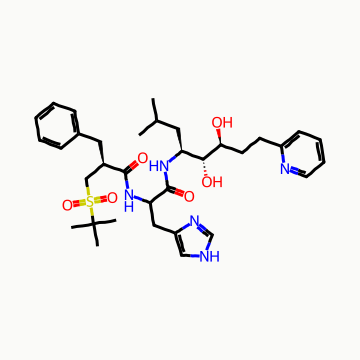 CC(C)C[C@H](NC(=O)C(Cc1c[nH]cn1)NC(=O)[C@H](Cc1ccccc1)CS(=O)(=O)C(C)(C)C)[C@@H](O)[C@@H](O)CCc1ccccn1